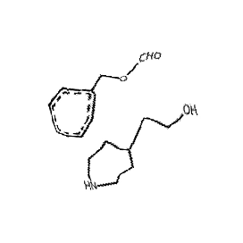 O=COCc1ccccc1.OCCC1CCNCC1